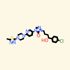 Cc1nnc(N2CCN(c3ccc(-n4cnn(CCCC(O)c5ccc(Cl)cc5)c4=O)cn3)CC2)s1